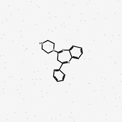 c1ccc(C2=Nc3ccccc3N=C(N3CCNCC3)C2)cc1